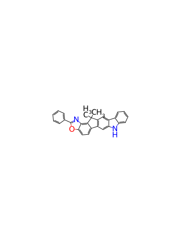 CC1(C)c2cc3c(cc2-c2ccc4oc(-c5ccccc5)nc4c21)[nH]c1ccccc13